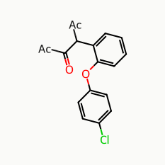 CC(=O)C(=O)C(C(C)=O)c1ccccc1Oc1ccc(Cl)cc1